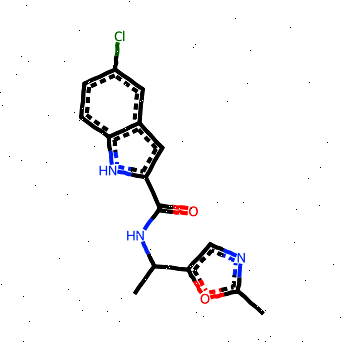 Cc1ncc(C(C)NC(=O)c2cc3cc(Cl)ccc3[nH]2)o1